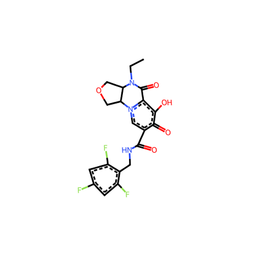 CCN1C(=O)c2c(O)c(=O)c(C(=O)NCc3c(F)cc(F)cc3F)cn2C2COCC21